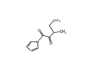 CCC(C)C(=O)C(=O)n1cccc1